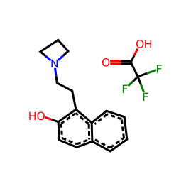 O=C(O)C(F)(F)F.Oc1ccc2ccccc2c1CCN1CCC1